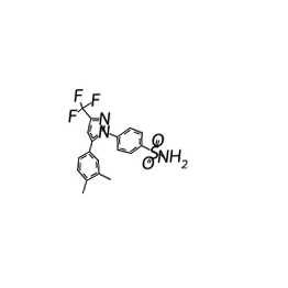 Cc1ccc(-c2cc(C(F)(F)F)nn2-c2ccc(S(N)(=O)=O)cc2)cc1C